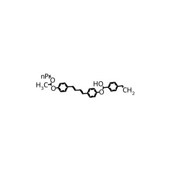 C=Cc1ccc(C(O)Oc2ccc(C=CC=Cc3ccc(OC(C)OCCC)cc3)cc2)cc1